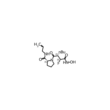 C=CCNC(=O)[C@@H]1CCCN1C(=O)[C@H](CCCC)[C@H](F)C(=O)NO